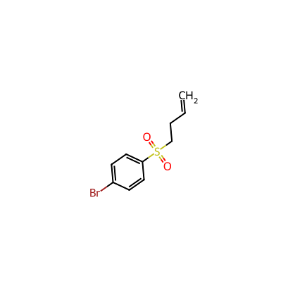 C=CCCS(=O)(=O)c1ccc(Br)cc1